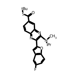 CC(C)N(C)c1nc2cc(C(=O)SC(C)(C)C)ccc2nc1-c1cc2cc(F)ccc2o1